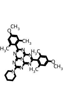 COc1cc(C)c(C2=NC3=NC(c4c(C)cc(OC)cc4C)=NC4=NC(N5CCCCC5)=NC(=N2)N34)c(C)c1